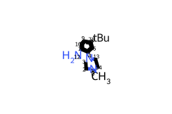 CN1CCN(c2cc(C(C)(C)C)ccc2N)CC1